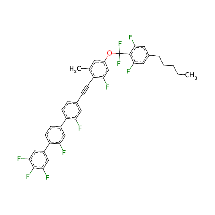 CCCCCc1cc(F)c(C(F)(F)Oc2cc(C)c(C#Cc3ccc(-c4ccc(-c5cc(F)c(F)c(F)c5)c(F)c4)c(F)c3)c(F)c2)c(F)c1